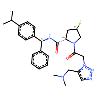 CC(C)c1ccc([C@@H](NC(=O)[C@@H]2C[C@@H](F)CN2C(=O)Cn2nncc2CN(C)C)c2ccccc2)cc1